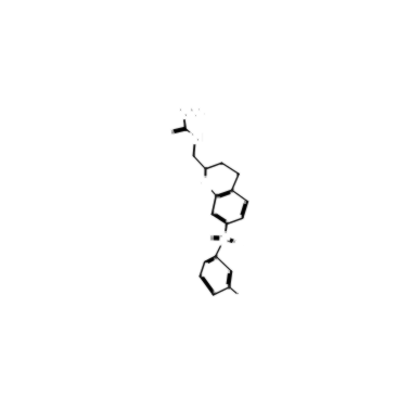 CNC(=O)NCC1CCc2ccc(S(=O)(=O)c3cccc(F)c3)cc2O1